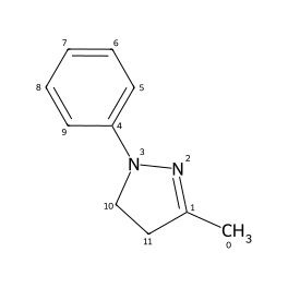 CC1=NN(c2ccccc2)CC1